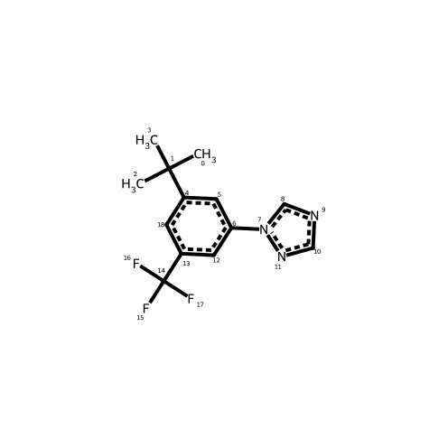 CC(C)(C)c1cc(-n2cncn2)cc(C(F)(F)F)c1